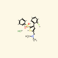 CN(C)Cc1cc(-c2ccccc2F)c(S(=O)(=O)c2ccccc2)s1.Cl